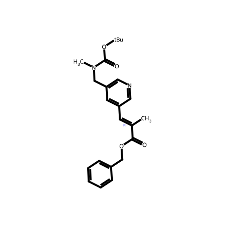 C/C(=C\c1cncc(CN(C)C(=O)OC(C)(C)C)c1)C(=O)OCc1ccccc1